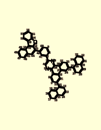 c1cc(-c2cnc3c4ccc(-c5cccc6ccccc56)cc4c4cc(-c5cccc6ccccc56)ccc4c3n2)cc(-c2cc3ccccc3c3c2oc2ccccc23)c1